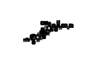 CCCN(CCC)C(=O)c1ccc(S(=O)(=O)NC(=O)c2cnc(OC(=O)NCC(=O)OCC)c(OC)c2)cc1